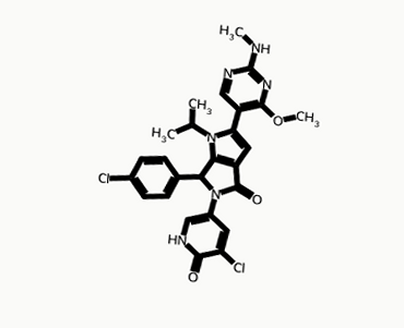 CNc1ncc(-c2cc3c(n2C(C)C)C(c2ccc(Cl)cc2)N(c2c[nH]c(=O)c(Cl)c2)C3=O)c(OC)n1